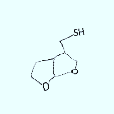 SCC1COC2OCCC12